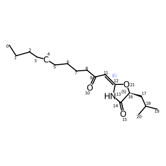 CCCCCCCCCC(=O)/C=C1\NC(=O)[C@H](CC(C)C)O1